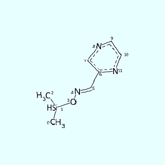 C[SiH](C)ON=Cc1cnccn1